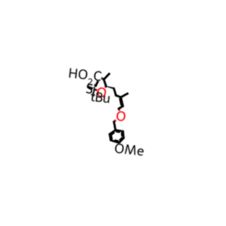 COc1ccc(COCC=C(C)CC[C@@H](O[Si](C)(C)C(C)(C)C)C(C)C(=O)O)cc1